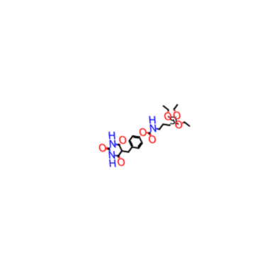 CCO[Si](CCCNC(=O)Oc1ccc(CC2C(=O)NC(=O)NC2=O)cc1)(OCC)OCC